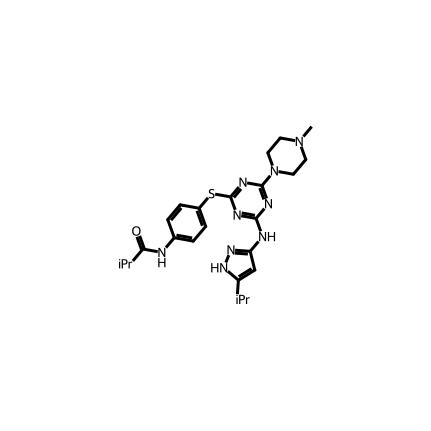 CC(C)C(=O)Nc1ccc(Sc2nc(Nc3cc(C(C)C)[nH]n3)nc(N3CCN(C)CC3)n2)cc1